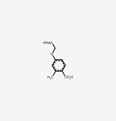 CCCCCCCCOc1ccc(C(=O)O)c(C)c1